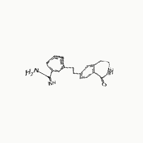 N=C(N)c1cccc(CCc2ccc3c(c2)CCNC3=O)c1